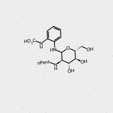 CCCCCN[C@H]1C(Nc2ccccc2NC(=O)O)O[C@H](CO)[C@@H](O)[C@@H]1O